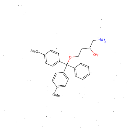 COc1ccc(C(OCCC(O)CN)(c2ccccc2)c2ccc(OC)cc2)cc1